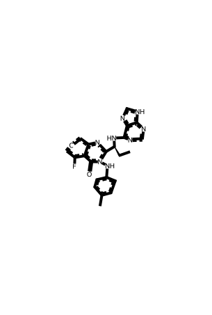 CC[C@H](Nc1ncnc2[nH]cnc12)c1nc2cccc(F)c2c(=O)n1Nc1ccc(C)cc1